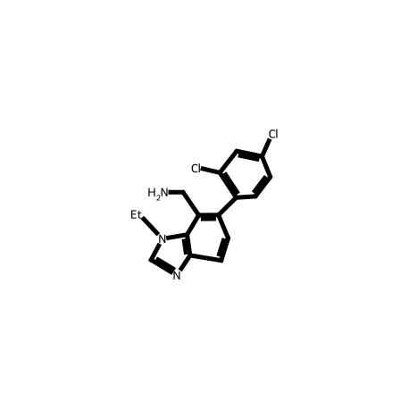 CCn1cnc2ccc(-c3ccc(Cl)cc3Cl)c(CN)c21